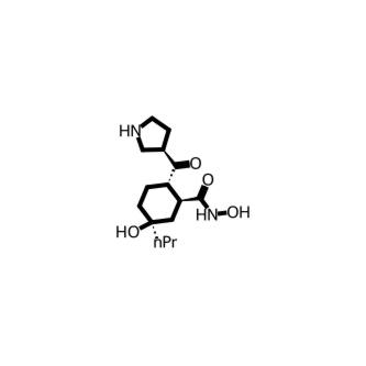 CCC[C@]1(O)CC[C@H](C(=O)[C@@H]2CCNC2)[C@@H](C(=O)NO)C1